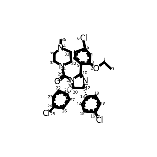 CCOc1cc(Cl)ccc1C1=N[C@H](c2ccc(Cl)cc2)[C@H](c2ccc(Cl)cc2)N1C(=O)N1CCN(C)CC1